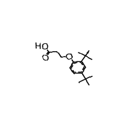 CC(C)(C)c1ccc(OCCC(=O)O)c(C(C)(C)C)c1